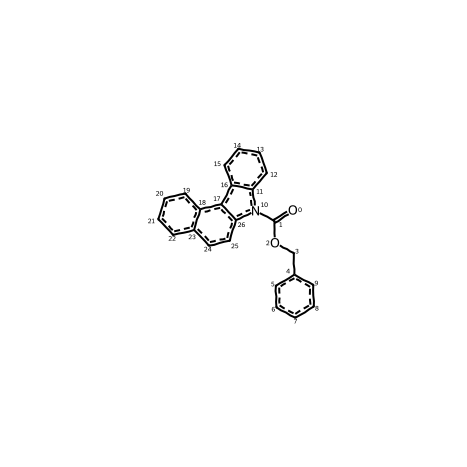 O=C(OCc1ccccc1)n1c2ccccc2c2c3ccccc3ccc21